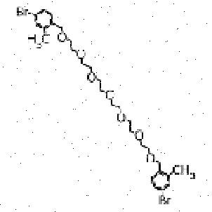 Cc1cc(Br)ccc1COCCOCCOCCOCCOCCOCCOCc1ccc(Br)cc1C